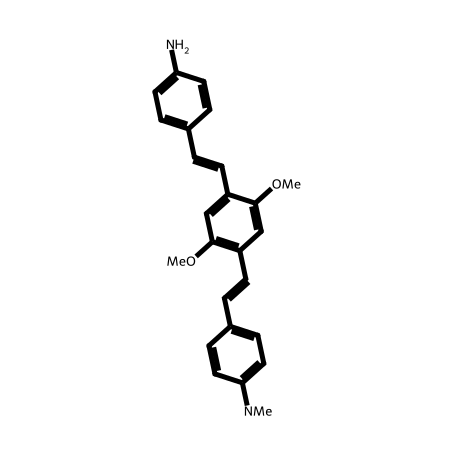 CNc1ccc(/C=C/c2cc(OC)c(/C=C/c3ccc(N)cc3)cc2OC)cc1